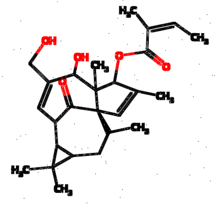 C/C=C(/C)C(=O)OC1C(C)=C[C@]23C(=O)C(C=C(CO)C(O)C12C)C1C(CC3C)C1(C)C